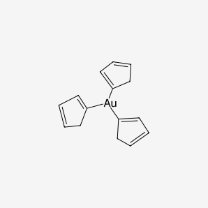 C1=CC[C]([Au]([C]2=CC=CC2)[C]2=CC=CC2)=C1